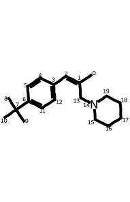 CC(=Cc1ccc(C(C)(C)C)cc1)CN1CCCCC1